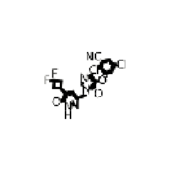 N#Cc1cc(Cl)cc(Oc2c(C(F)(F)F)ncn(Cc3cc(C4CC(F)(F)C4)c(=O)[nH]n3)c2=O)c1